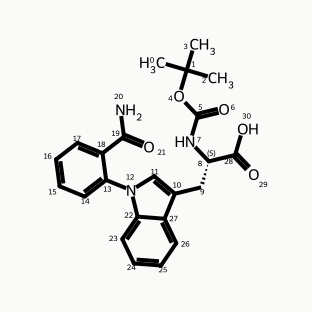 CC(C)(C)OC(=O)N[C@@H](Cc1cn(-c2ccccc2C(N)=O)c2ccccc12)C(=O)O